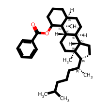 CC(C)CCC[C@@H](C)[C@H]1CC[C@H]2[C@@H]3CC[C@@H]4CCCC(OC(=O)c5ccccc5)[C@]4(C)[C@H]3CC[C@]12C